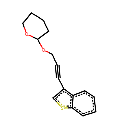 C(#Cc1csc2ccccc12)COC1CCCCO1